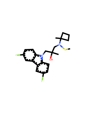 CSN(CC(C)(O)Cn1c2ccc(F)cc2c2cc(F)ccc21)C1(C)CCC1